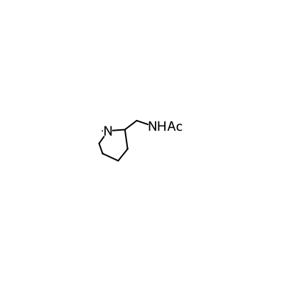 CC(=O)NCC1CCCC[N]1